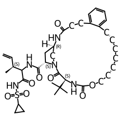 C=C[C@H](C)C(NC(=O)[C@@H]1C[C@@H]2CN1C(=O)[C@H](C(C)(C)C)NC(=O)OCCCCCCCc1ccccc1CCC(=O)N2)C(=O)NS(=O)(=O)C1CC1